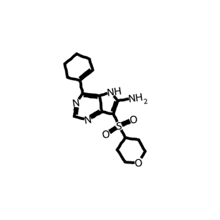 Nc1[nH]c2c(C3=CCCCC3)ncnc2c1S(=O)(=O)C1CCOCC1